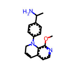 COc1nccc2c1N(c1ccc(C(C)N)cc1)CC=C2